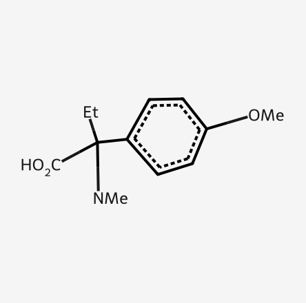 CCC(NC)(C(=O)O)c1ccc(OC)cc1